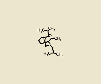 C=CC1N(CC(C)C)CC12CCCN2C(=O)C(C)C